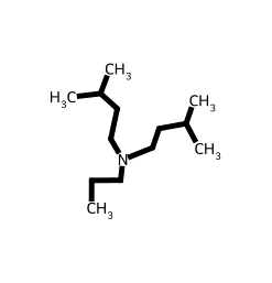 CCCN(CCC(C)C)CCC(C)C